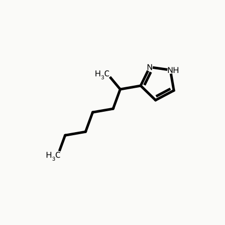 CCCCCC(C)c1cc[nH]n1